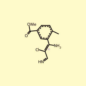 COC(=O)c1ccc(C)c(/C(N)=C(\Cl)C=N)c1